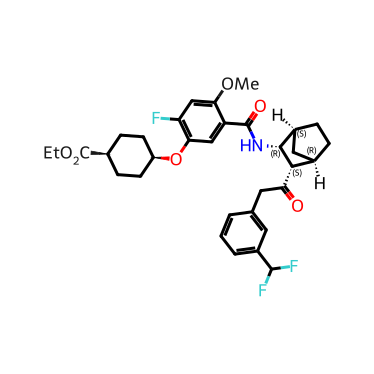 CCOC(=O)[C@H]1CC[C@@H](Oc2cc(C(=O)N[C@@H]3[C@H]4CC[C@H](C4)[C@@H]3C(=O)Cc3cccc(C(F)F)c3)c(OC)cc2F)CC1